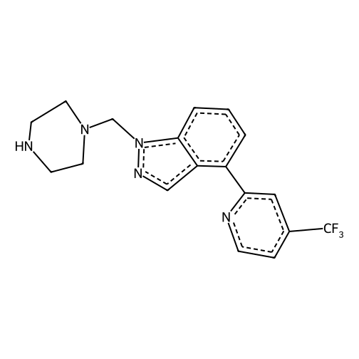 FC(F)(F)c1ccnc(-c2cccc3c2cnn3CN2CCNCC2)c1